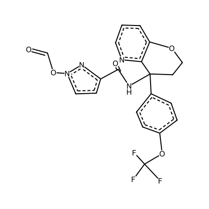 O=COn1ccc(C(=O)NC2(c3ccc(OC(F)(F)F)cc3)CCOc3cccnc32)n1